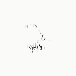 C=C(NCCCCCCCN(C)CCO)c1cc(O)cc(-c2cccc(-c3cc(NC(=O)Nc4c(Cl)cncc4Cl)c(=O)n(CC)n3)c2)c1